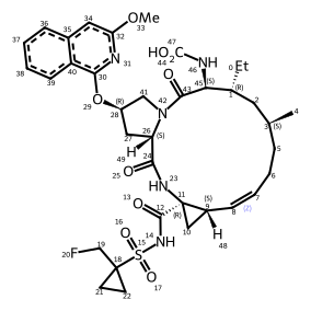 CC[C@@H]1C[C@@H](C)CC/C=C\[C@@H]2C[C@@]2(C(=O)NS(=O)(=O)C2(CF)CC2)NC(=O)[C@@H]2C[C@@H](Oc3nc(OC)cc4ccccc34)CN2C(=O)[C@H]1NC(=O)O